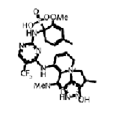 CNC(=O)C1=C(Nc2nc(NC3(P(=O)([O-])O)CC=C(C)C=C3OC)ncc2C(F)(F)F)C=CC[N+]1(CC(C)CO)c1cn[nH]c1